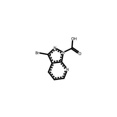 O=C(O)n1nc(Br)c2cccnc21